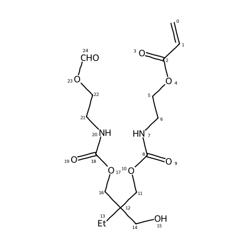 C=CC(=O)OCCNC(=O)OCC(CC)(CO)COC(=O)NCCOC=O